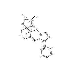 C[C@H]1OC2(CCCC3=Cc4c(cnn4-c4ccccc4)CC32C)O[C@@H]1C